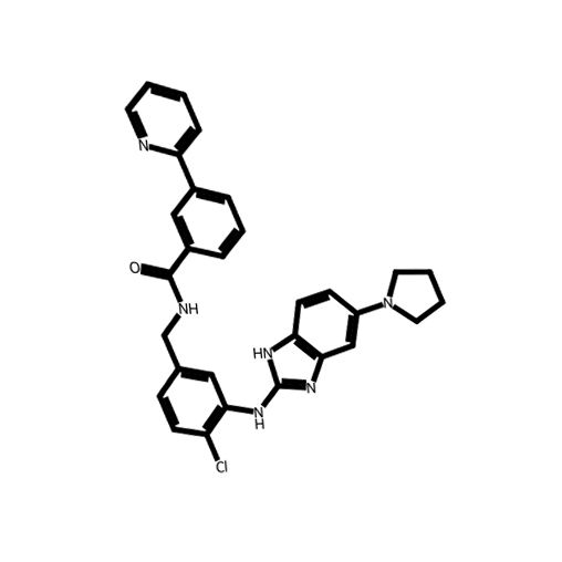 O=C(NCc1ccc(Cl)c(Nc2nc3cc(N4CCCC4)ccc3[nH]2)c1)c1cccc(-c2ccccn2)c1